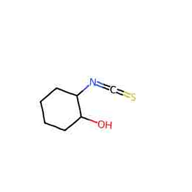 OC1CCCCC1N=C=S